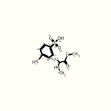 CNC(C)C(=O)OC.Cc1ccc(S(=O)(=O)O)cc1